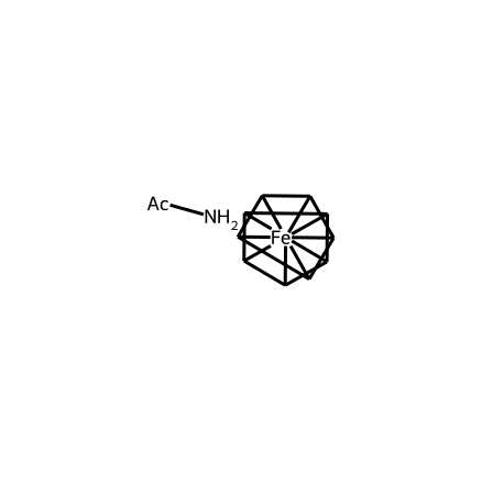 CC(N)=O.[CH]12[CH]3[CH]4[CH]5[CH]1[Fe]23451678[CH]2[CH]1[CH]6[CH]7[CH]28